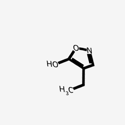 CCc1cnoc1O